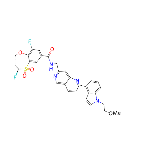 COCCn1ccc2c(-c3ccc4cnc(CNC(=O)c5cc(F)c6c(c5)S(=O)(=O)[C@@H](F)CCO6)cc4n3)cccc21